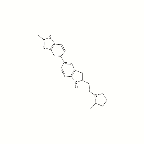 Cc1nc2cc(-c3ccc4[nH]c(CCN5CCCC5C)cc4c3)ccc2s1